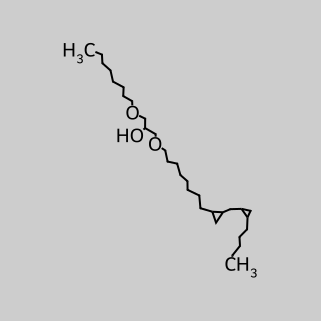 CCCCCCCCOCC(O)COCCCCCCCCC1CC1CC1CC1CCCCC